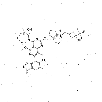 COc1nc(-c2c(Cl)c(C)cc3[nH]ncc23)c(F)c2nc(OC[C@]34CCC[C@H]3N(CC3CC(O)(C(F)(F)F)C3)CCC4)nc(N3CCOC[C@@](C)(O)C3)c12